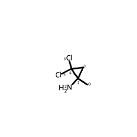 CC1(N)CC1(Cl)Cl